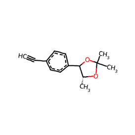 C#Cc1ccc(C2OC(C)(C)O[C@@H]2C)cc1